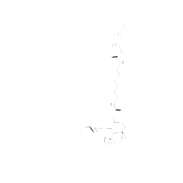 COC1C(OC(=O)NCCCCCCNC(=O)CNOBF)CC[C@]2(CO2)C1C1(C)O[C@@H]1CC=C(C)C